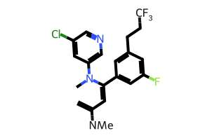 C=C(/C=C(/c1cc(F)cc(CCC(F)(F)F)c1)N(C)c1cncc(Cl)c1)NC